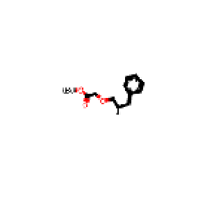 C[C@@H](COCC(=O)OC(C)(C)C)Cc1ccccc1